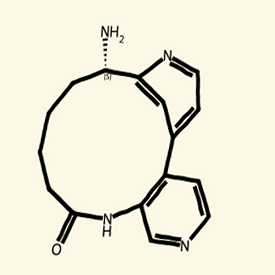 N[C@H]1CCCCC(=O)Nc2cnccc2-c2ccnc1c2